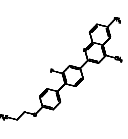 CCCOc1ccc(-c2ccc(-c3cc(C)c4cc(P)ccc4n3)cc2F)cc1